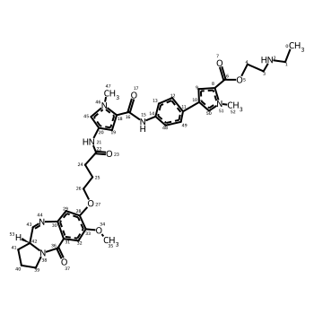 CCNCCOC(=O)c1cc(-c2ccc(NC(=O)c3cc(NC(=O)CCCOc4cc5c(cc4OC)C(=O)N4CCC[C@@H]4C=N5)cn3C)cc2)cn1C